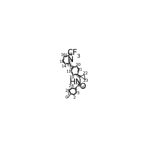 Cc1ccc(C(=O)NC2(c3ccc(-c4cccc(C(F)(F)F)n4)cc3)CC2)cc1